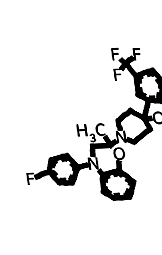 CC1(N2CCC(O)(c3cccc(C(F)(F)F)c3)CC2)CN(c2ccc(F)cc2)c2ccccc2O1